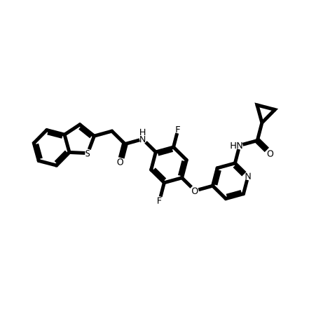 O=C(Cc1cc2ccccc2s1)Nc1cc(F)c(Oc2ccnc(NC(=O)C3CC3)c2)cc1F